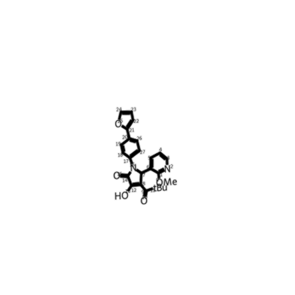 COc1ncccc1C1C(C(=O)C(C)(C)C)=C(O)C(=O)N1c1ccc(-c2ccco2)cc1